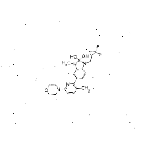 Cc1ccc(N2CCOCC2)nc1-c1ccc2c(c1)N(C)S(O)(O)N2CC1CC1(F)F